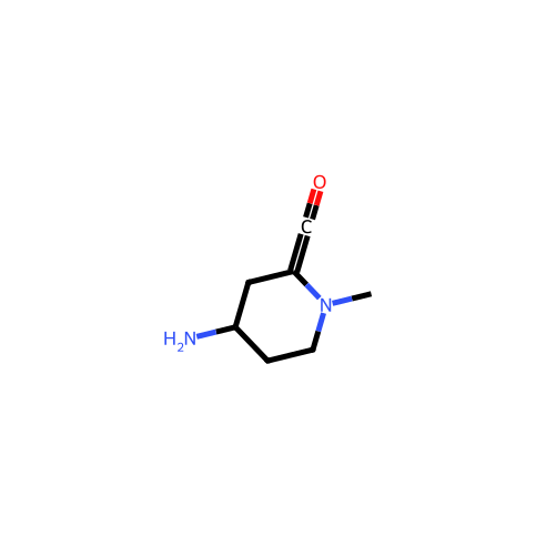 CN1CCC(N)CC1=C=O